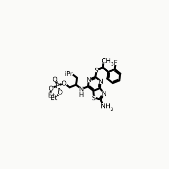 CCOP(=O)(OCC)OCC(CC(C)C)Nc1nc(SC(C)c2ccccc2F)nc2nc(N)sc12